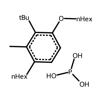 CCCCCCOc1ccc(CCCCCC)c(C)c1C(C)(C)C.OP(O)O